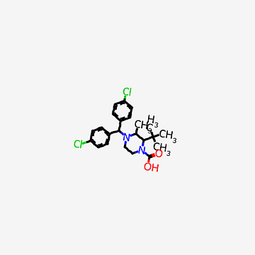 CC1C(C(C)(C)C)N(C(=O)O)CCN1C(c1ccc(Cl)cc1)c1ccc(Cl)cc1